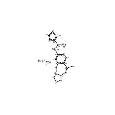 CN1CC2CCCN2Cc2cc(NC(=N)c3cccs3)ccc21.Cl.Cl